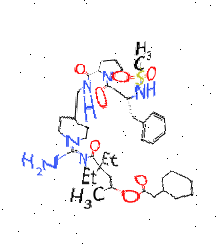 CCC(CC)(CC(C)OC(=O)CC1CCCCC1)C(=O)/N=C(/N)N1CCC(CNC(=O)[C@@H]2CCCN2C(=O)[C@@H](Cc2ccccc2)NS(C)(=O)=O)CC1